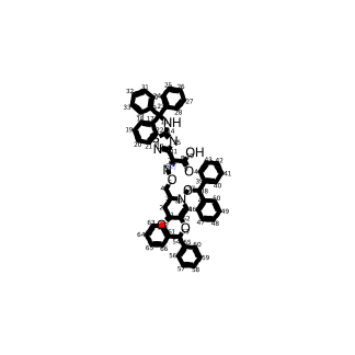 O=C1CC(CO/N=C(\C(=O)O)c2nsc(NC(c3ccccc3)(c3ccccc3)c3ccccc3)n2)N(OC(c2ccccc2)c2ccccc2)C=C1OC(c1ccccc1)c1ccccc1